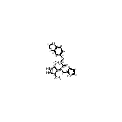 CC1NNC(C)C1N(Cc1cccs1)C(=O)COc1ccc2c(c1)OCO2